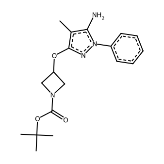 Cc1c(OC2CN(C(=O)OC(C)(C)C)C2)nn(-c2ccccc2)c1N